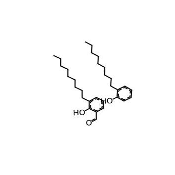 CCCCCCCCCc1cccc(C=O)c1O.CCCCCCCCCc1ccccc1O